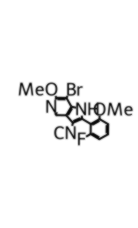 COc1cccc(F)c1-c1[nH]c2c(Br)c(OC)ncc2c1C#N